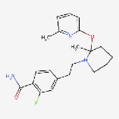 Cc1cccc(OC2(C)CCCCN2CCc2ccc(C(N)=O)c(F)c2)n1